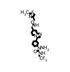 Cc1nc(CONCc2ccn3c(-c4cccc(N(N)C(=O)NCC(F)(F)F)c4)cnc3c2)cs1